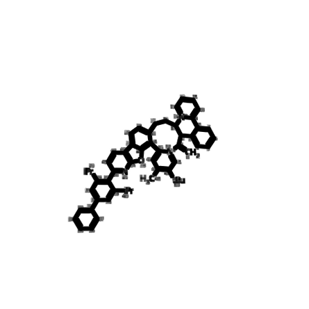 C=C1C2c3ccccc3-c3cccc[n+]3C2CCc2ccc3c(oc4nc(-c5c(C(C)C)cc(-c6ccccc6)cc5C(C)C)ccc43)c2-c2cc(C)c(C(C)(C)C)c[n+]21